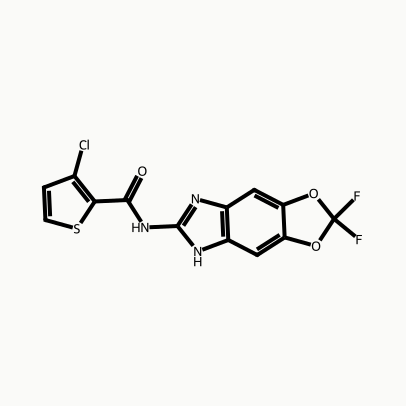 O=C(Nc1nc2cc3c(cc2[nH]1)OC(F)(F)O3)c1sccc1Cl